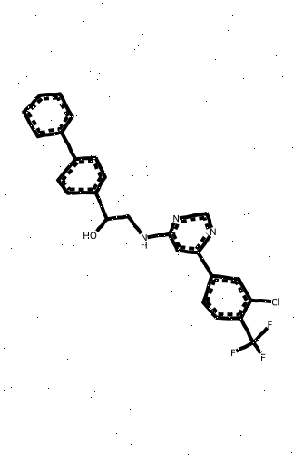 OC(CNc1cc(-c2ccc(C(F)(F)F)c(Cl)c2)ncn1)c1ccc(-c2ccccc2)cc1